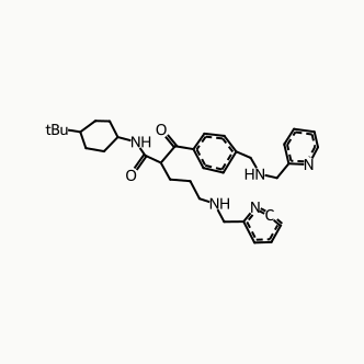 CC(C)(C)C1CCC(NC(=O)C(CCCNCc2ccccn2)C(=O)c2ccc(CNCc3ccccn3)cc2)CC1